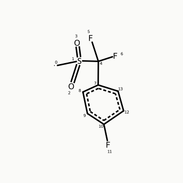 [CH2]S(=O)(=O)C(F)(F)c1ccc(F)cc1